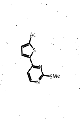 CSc1nccc(-c2ccc(C(C)=O)s2)n1